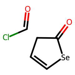 O=C1CC=C[Se]1.O=CCl